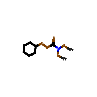 CC(C)SN(SC(C)C)C(=S)SSC1CCCCC1